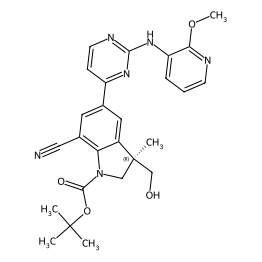 COc1ncccc1Nc1nccc(-c2cc(C#N)c3c(c2)[C@@](C)(CO)CN3C(=O)OC(C)(C)C)n1